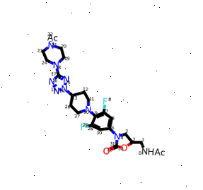 CC(=O)NCC1CN(c2cc(F)c(N3CCC(n4nnc(N5CCN(C(C)=O)CC5)n4)CC3)c(F)c2)C(=O)O1